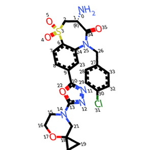 N[C@H]1CS(=O)(=O)c2ccc(-c3nnc(N4CCOC5(CC5)C4)o3)cc2N(Cc2ccc(Cl)cc2)C1=O